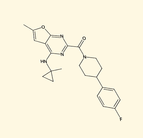 Cc1cc2c(NC3(C)CC3)nc(C(=O)N3CCC(c4ccc(F)cc4)CC3)nc2o1